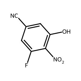 N#Cc1cc(O)c([N+](=O)[O-])c(F)c1